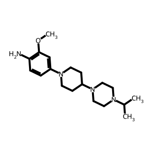 COc1cc(N2CCC(N3CCN(C(C)C)CC3)CC2)ccc1N